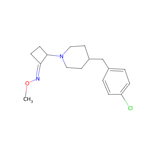 CON=C1CCC1N1CCC(Cc2ccc(Cl)cc2)CC1